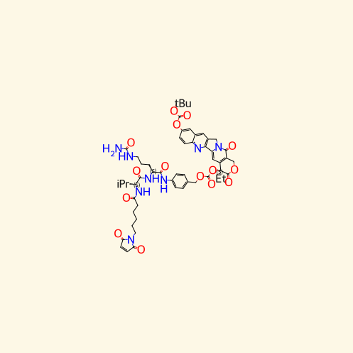 CC[C@@]1(OC(=O)OCc2ccc(NC(=O)[C@H](CCCNC(N)=O)NC(=O)[C@@H](NC(=O)CCCCCN3C(=O)C=CC3=O)C(C)C)cc2)C(=O)OCc2c1cc1n(c2=O)Cc2cc3cc(OC(=O)OC(C)(C)C)ccc3nc2-1